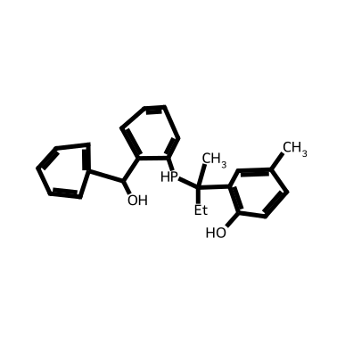 CCC(C)(Pc1ccccc1C(O)c1ccccc1)c1cc(C)ccc1O